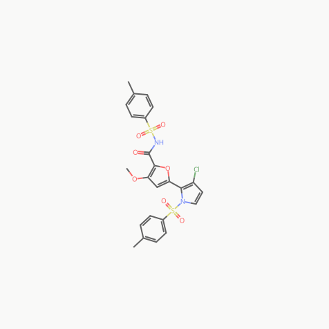 COc1cc(-c2c(Cl)ccn2S(=O)(=O)c2ccc(C)cc2)oc1C(=O)NS(=O)(=O)c1ccc(C)cc1